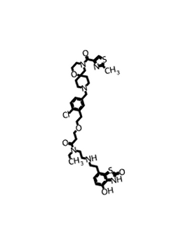 CCN(CCNCCc1ccc(O)c2[nH]c(=O)sc12)C(=O)CCOCCc1cc(CN2CCC3(CC2)CN(C(=O)c2csc(C)n2)CCO3)ccc1Cl